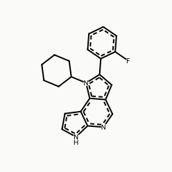 Fc1ccccc1-c1cc2cnc3[nH]ccc3c2n1C1CCCCC1